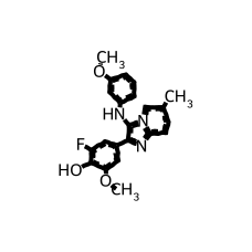 COc1cccc(Nc2c(-c3cc(F)c(O)c(OC)c3)nc3ccc(C)cn23)c1